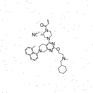 C=CC(=O)N1CCN(c2nc(OCCN(C)CC3CCCCC3)nc3c2CCN(c2cccc4cccc(C)c24)C3)C[C@@H]1CC#N